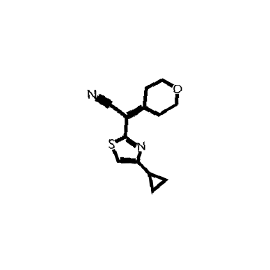 N#CC(=C1CCOCC1)c1nc(C2CC2)cs1